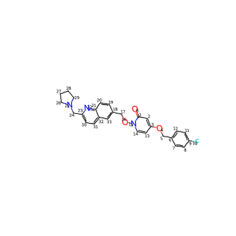 O=c1cc(OCc2ccc(F)cc2)ccn1OCc1ccc2nc(CN3CCCC3)ccc2c1